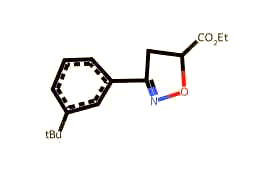 CCOC(=O)C1CC(c2cccc(C(C)(C)C)c2)=NO1